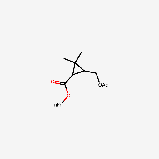 CCCOC(=O)C1C(COC(C)=O)C1(C)C